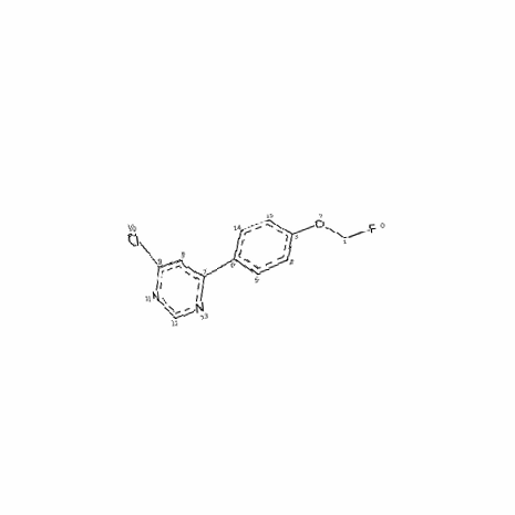 FCOc1ccc(-c2cc(Cl)ncn2)cc1